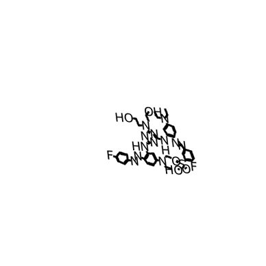 CCN(CC)c1ccc(/N=N/c2ccc(F)cc2)c(Nc2nc(Nc3cc(N(CC)CC)ccc3/N=N/c3ccc(F)c(S(=O)(=O)O)c3)nc(N(CCO)CCO)n2)c1